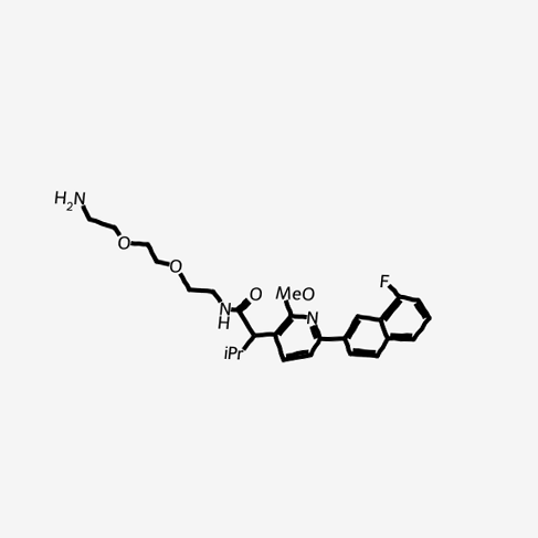 COc1nc(-c2ccc3cccc(F)c3c2)ccc1C(C(=O)NCCOCCOCCN)C(C)C